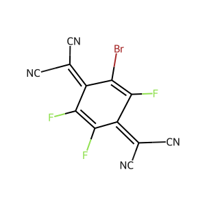 N#CC(C#N)=c1c(F)c(F)c(=C(C#N)C#N)c(Br)c1F